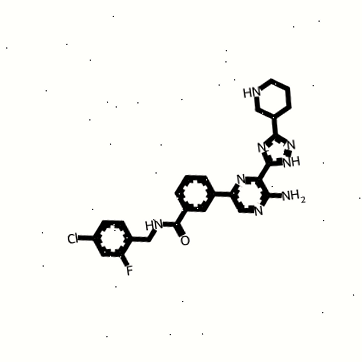 Nc1ncc(-c2cccc(C(=O)NCc3ccc(Cl)cc3F)c2)nc1-c1nc(C2CCCNC2)n[nH]1